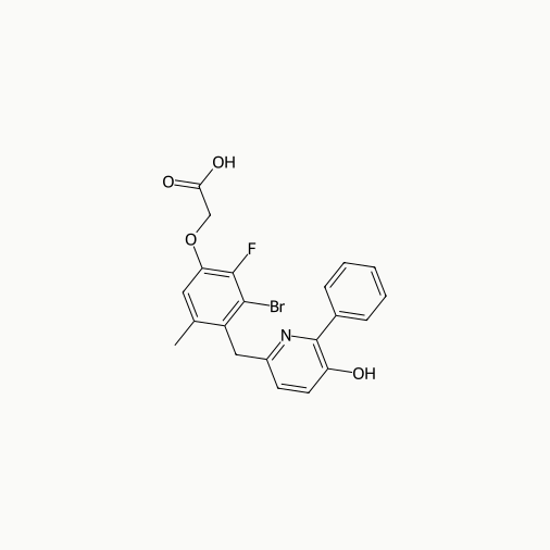 Cc1cc(OCC(=O)O)c(F)c(Br)c1Cc1ccc(O)c(-c2ccccc2)n1